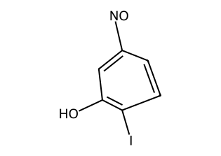 O=Nc1ccc(I)c(O)c1